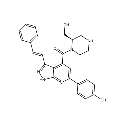 O=C(c1cc(-c2ccc(O)cc2)nc2[nH]nc(/C=C/c3ccccc3)c12)N1CCNC[C@@H]1CO